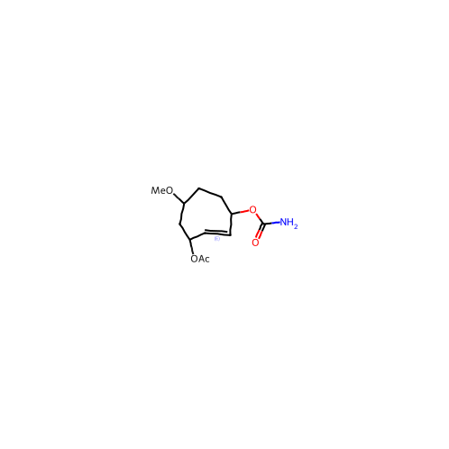 COC1CCC(OC(N)=O)/C=C/C(OC(C)=O)C1